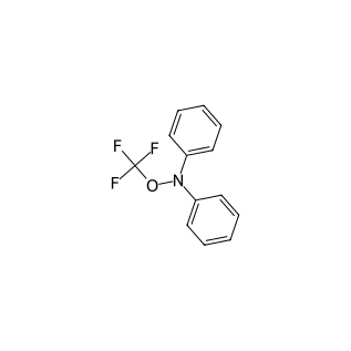 FC(F)(F)ON(c1ccccc1)c1ccccc1